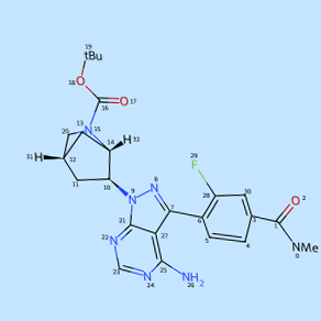 CNC(=O)c1ccc(-c2nn([C@H]3C[C@H]4C[C@@H]3N(C(=O)OC(C)(C)C)C4)c3ncnc(N)c23)c(F)c1